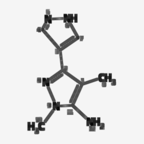 Cc1c(-c2cn[nH]c2)nn(C)c1N